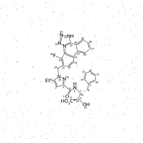 CCc1cc(C(=O)N[C@H](Cc2ccccc2)[C@@H](O)C(=O)O)nn1Cc1ccc(-c2ccccc2-c2nnn[nH]2)cc1F